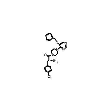 N[C@H](Cc1ccc(Cl)cc1)C(=O)N1CCN(c2ncncc2OCc2ccccc2)CC1